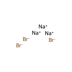 [Br-].[Br-].[Br-].[Na+].[Na+].[Na+]